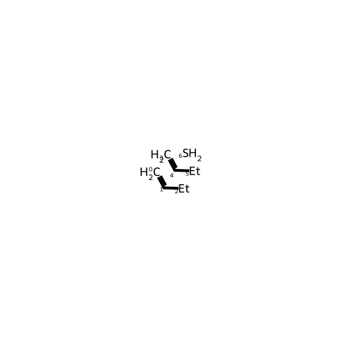 C=CCC.C=CCC.S